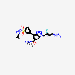 CNC(=O)c1cc(-c2cccc(S(=O)(=O)NC3CC3)c2)c2nnn(C/C(F)=C/CN)c2c1